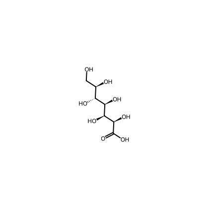 O=C(O)[C@H](O)[C@@H](O)[C@H](O)[C@H](O)[C@H](O)CO